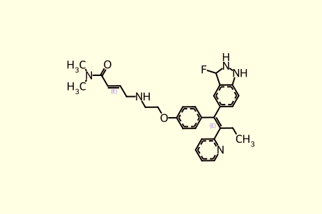 CC/C(=C(/c1ccc(OCCNC/C=C/C(=O)N(C)C)cc1)c1ccc2c(c1)C(F)NN2)c1ccccn1